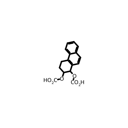 O=C(O)OC1CCc2c(ccc3ccccc23)C1OC(=O)O